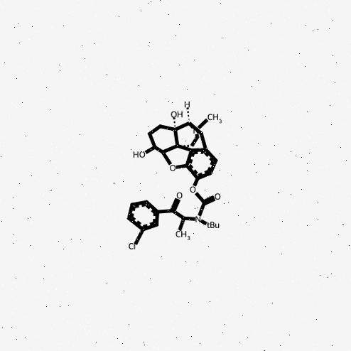 CC(C(=O)c1cccc(Cl)c1)N(C(=O)Oc1ccc2c3c1OC1C(O)CC[C@@]4(O)[C@@H](C2)N(C)CC[C@]314)C(C)(C)C